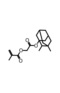 C=C(C)C(=O)OCC(=O)OC12CC3CC(CC(C)(C3)C1C)C2